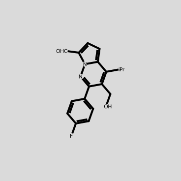 CC(C)c1c(CO)c(-c2ccc(F)cc2)nn2c(C=O)ccc12